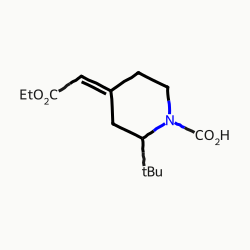 CCOC(=O)/C=C1/CCN(C(=O)O)C(C(C)(C)C)C1